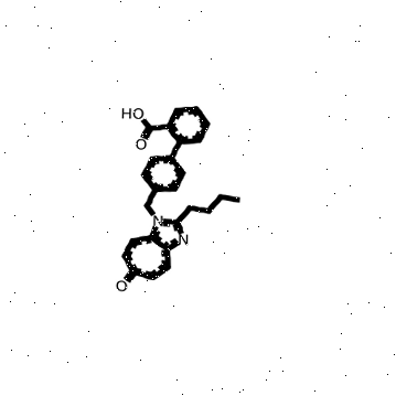 CCCCc1nc2ccc(=O)ccc2n1Cc1ccc(-c2ccccc2C(=O)O)cc1